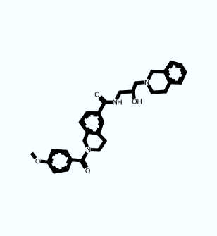 COc1ccc(C(=O)N2CCc3cc(C(=O)NCC(O)CN4CCc5ccccc5C4)ccc3C2)cc1